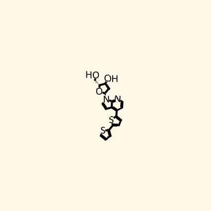 OC[C@H]1O[C@@H](n2ccc3c(-c4ccc(-c5cccs5)s4)ccnc32)CC1O